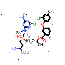 CCNc1nc(Cl)nc(NC(C)(C)C)n1.CP(=O)(O)CCC(N)C(=O)O.C[C@H](OC(=O)c1cc(Oc2ccc(C(F)(F)F)cc2Cl)ccc1Cl)C(=O)O